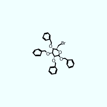 BrC[C@H]1OC(OCc2ccccc2)[C@H](OCc2ccccc2)[C@@H](OCc2ccccc2)[C@@H]1OCc1ccccc1